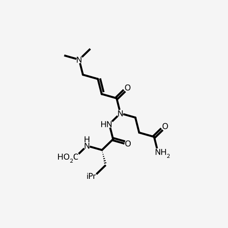 CC(C)C[C@H](NC(=O)O)C(=O)NN(CCC(N)=O)C(=O)/C=C/CN(C)C